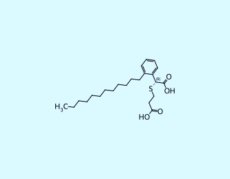 CCCCCCCCCCCCc1ccccc1[C@@H](SCCC(=O)O)C(=O)O